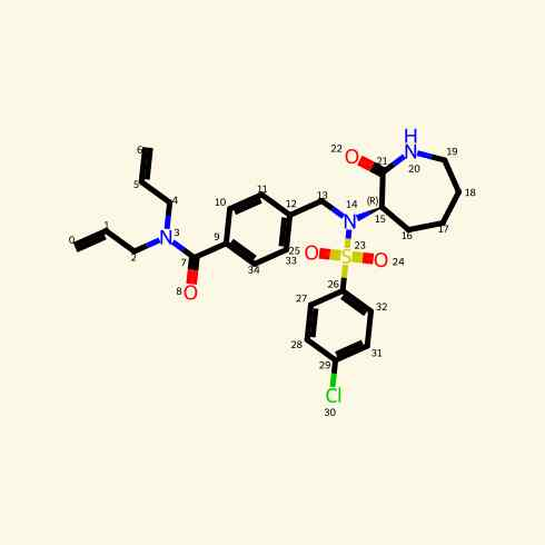 C=CCN(CC=C)C(=O)c1ccc(CN([C@@H]2CCCCNC2=O)S(=O)(=O)c2ccc(Cl)cc2)cc1